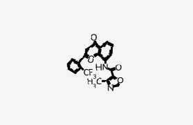 Cc1ncoc1C(=O)Nc1cccc2c(=O)cc(-c3ccccc3C(F)(F)F)oc12